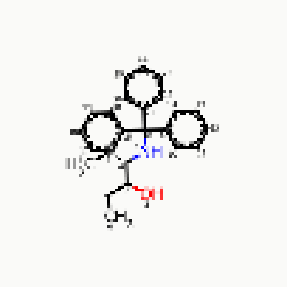 CCC(O)[C@H](CC)NC(c1ccccc1)(c1ccccc1)c1ccccc1